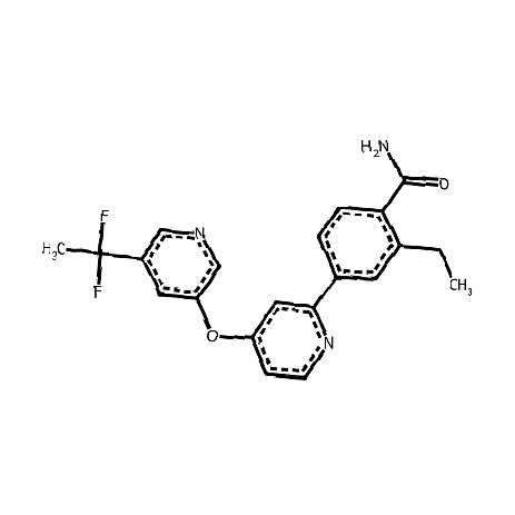 CCc1cc(-c2cc(Oc3cncc(C(C)(F)F)c3)ccn2)ccc1C(N)=O